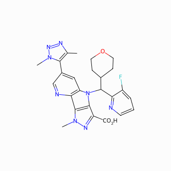 Cc1nnn(C)c1-c1cnc2c3c(c(C(=O)O)nn3C)n(C(c3ncccc3F)C3CCOCC3)c2c1